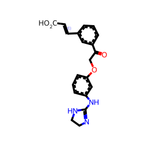 O=C(O)/C=C/c1cccc(C(=O)COc2cccc(NC3=NCCN3)c2)c1